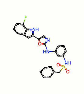 O=S(=O)(Cc1ccccc1)Nc1cccc(Nc2ncc(-c3cc4cccc(F)c4[nH]3)o2)c1